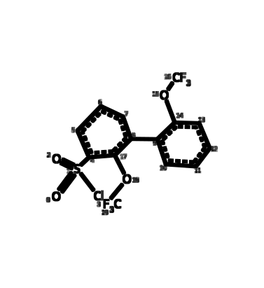 O=S(=O)(Cl)c1cccc(-c2ccccc2OC(F)(F)F)c1OC(F)(F)F